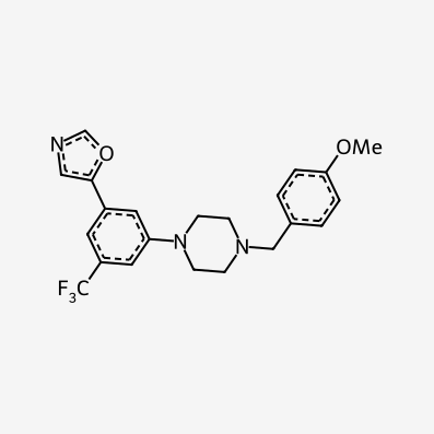 COc1ccc(CN2CCN(c3cc(-c4cnco4)cc(C(F)(F)F)c3)CC2)cc1